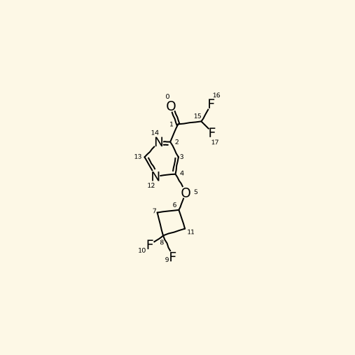 O=C(c1cc(OC2CC(F)(F)C2)ncn1)C(F)F